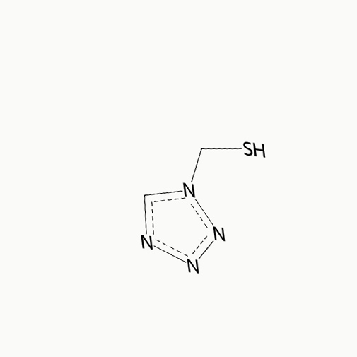 SCn1cnnn1